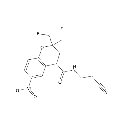 N#CCCNC(=O)C1CC(CF)(CF)Oc2ccc([N+](=O)[O-])cc21